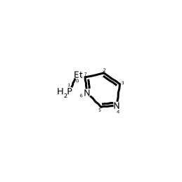 CCP.c1cncnc1